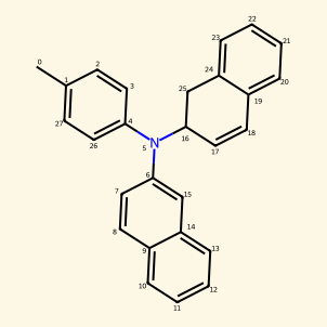 Cc1ccc(N(c2ccc3ccccc3c2)C2C=Cc3ccccc3C2)cc1